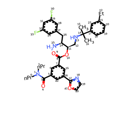 CCCN(CCC)C(=O)c1cc(C(=O)O[C@H](CNC(C)(C)c2cccc(CC)c2)[C@@H](N)Cc2cc(F)cc(F)c2)cc(-c2ncco2)c1